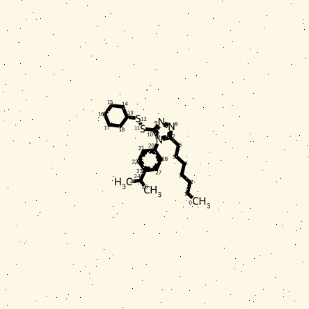 CCCCCCCc1nnc(SSC2CCCCC2)n1-c1ccc(C(C)C)cc1